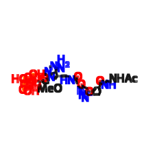 COC1CC(n2cc(C#CCNC(=O)COC(COc3cccc(C(=O)NCCNC(C)=O)c3)N=[N+]=[N-])c3c(N)ncnc32)OC1COP(=O)(O)OP(=O)(O)OP(=O)(O)O